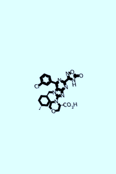 C[C@H]1CC[C@H](Cn2c(N3CCOC[C@H]3C(=O)O)nc3nc(-c4noc(=O)[nH]4)nc(-c4cccc(Cl)c4)c32)CC1